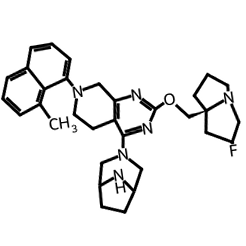 Cc1cccc2cccc(N3CCc4c(nc(OC[C@@]56CCCN5C[C@H](F)C6)nc4N4CC5CCC(C4)N5)C3)c12